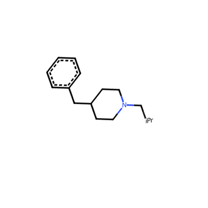 CC(C)CN1CCC(Cc2ccccc2)CC1